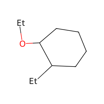 CCOC1CCCCC1CC